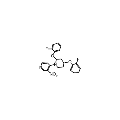 O=[N+]([O-])c1cnccc1N1CCC(Oc2ccccc2F)CC1Oc1ccccc1F